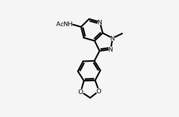 CC(=O)Nc1cnc2c(c1)c(-c1ccc3c(c1)OCO3)nn2C